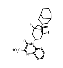 C=C1C[C@H]2C[C@@H](n3c(=O)c(C(=O)O)nc4ccccc43)C[C@@H]1N2C1CC2CCCC(C2)C1